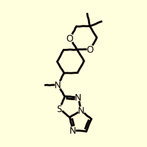 CN(c1nn2ccnc2s1)C1CCC2(CC1)OCC(C)(C)CO2